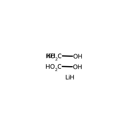 O=C(O)O.O=C(O)O.[KH].[LiH]